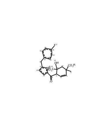 CC1(C(=O)O)C=CC(C(=O)c2ccc(Cc3ccc(F)cc3)[nH]2)C(O)(C(=O)O)C1